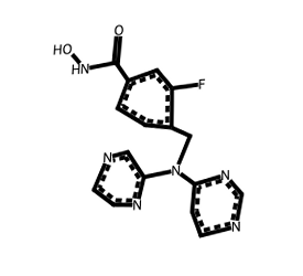 O=C(NO)c1ccc(CN(c2ccncn2)c2cnccn2)c(F)c1